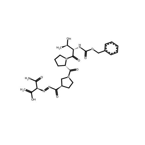 C=C(O)[C@H](N=NC(=O)[C@@H]1CCN(C(=O)[C@@H]2CCCN2C(=O)[C@@H](NC(=O)OCc2ccccc2)[C@@H](C)O)C1)C(N)=O